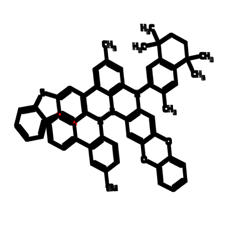 Cc1cc2c3c(c1)N(c1cc4c(cc1C)C(C)(C)CCC4(C)C)c1cc4c(cc1B3N(c1ccc(C(C)(C)C)cc1-c1ccccc1)c1cc3c(cc1-2)sc1ccccc13)Oc1ccccc1O4